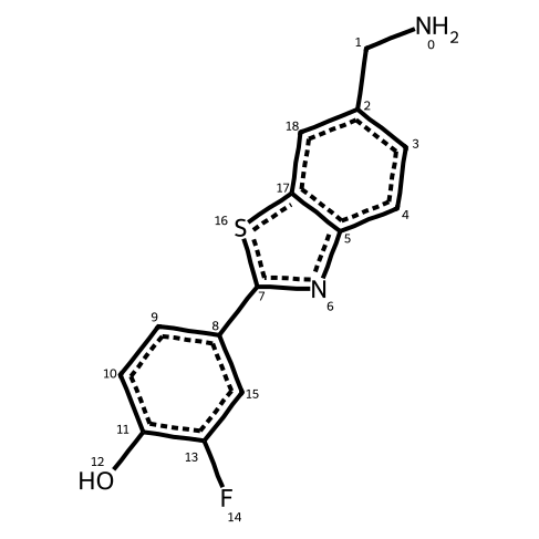 NCc1ccc2nc(-c3ccc(O)c(F)c3)sc2c1